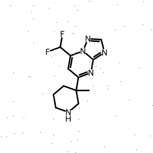 CC1(c2cc(C(F)F)n3ncnc3n2)CCCNC1